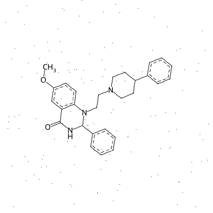 COc1ccc2c(c1)C(=O)NC(c1ccccc1)N2CCN1CCC(c2ccccc2)CC1